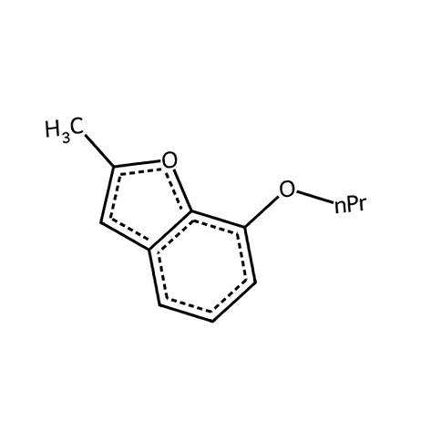 CCCOc1cccc2cc(C)oc12